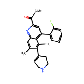 CNC(=O)c1cc(-c2ccccc2F)c2c(C)c(C3=CCNCC3)c(C)cc2n1